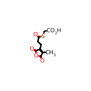 CC1=C(CCC(=O)SCC(=O)O)C(=O)OC1=O